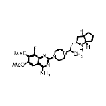 COc1cc2c(N)nc(N3CCN(C(C)C[C@@H]4C[C@@H]5CCC[C@@H]5N4)CC3)nc2c(F)c1OC